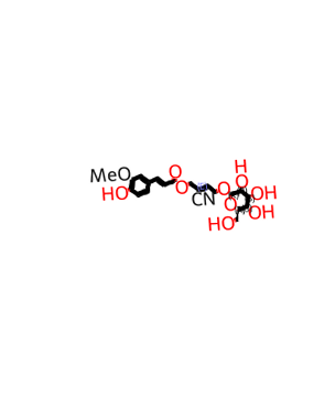 COc1cc(C=CC(=O)OC/C(C#N)=C/CO[C@@H]2O[C@H](CO)[C@@H](O)[C@H](O)[C@H]2O)ccc1O